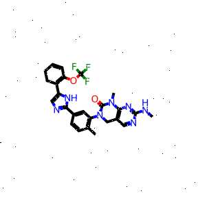 CNc1ncc2c(n1)N(C)C(=O)N(c1cc(-c3ncc(C4=C(OC(F)(F)F)C=CCC4)[nH]3)ccc1C)C2